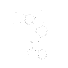 COc1cc(CCC(=O)O)c(-c2cc(NC(=O)C3(c4ccc(O)c(O)c4)CC3)ccc2C)cc1OC